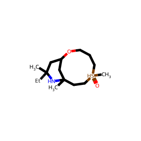 CCC1(C)CC2CC(C)(CC[SH](C)(=O)CCCO2)N1